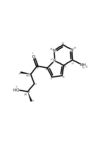 C[C@H](C[C@@H](C)O)C(=O)c1ccc2c(N)ncnn12